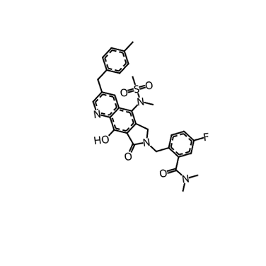 Cc1ccc(Cc2cnc3c(O)c4c(c(N(C)S(C)(=O)=O)c3c2)CN(Cc2ccc(F)cc2C(=O)N(C)C)C4=O)cc1